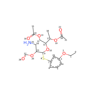 CCOc1cccc(SC(OC(COC(C)=O)C(C)OC(C)=O)C(CN)OC=O)c1